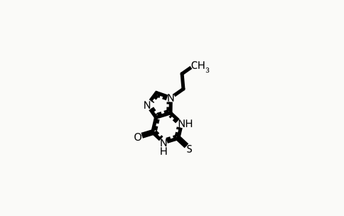 CCCn1cnc2c(=O)[nH]c(=S)[nH]c21